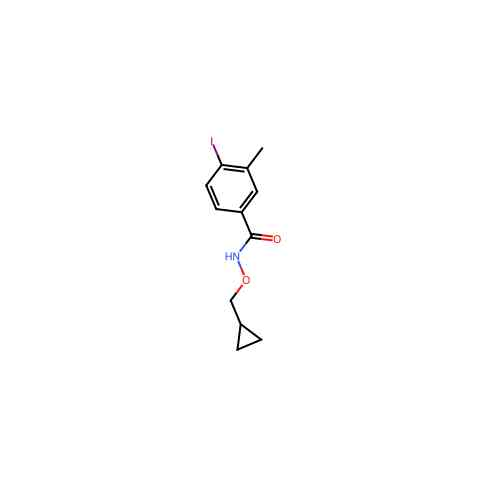 Cc1cc(C(=O)NOCC2CC2)ccc1I